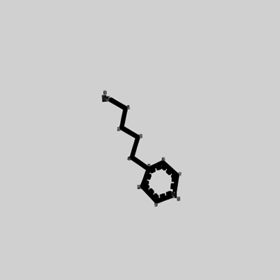 BrCCCCc1ccncc1